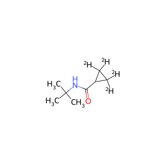 [2H]C1([2H])C(C(=O)NC(C)(C)C)C1([2H])[2H]